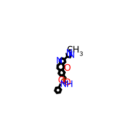 CN1CC(c2cnc3ccc4ccc(CS(=O)(=O)NCc5ccccc5)cc4c(=O)c3c2)C=N1